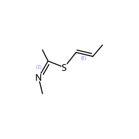 C/C=C/S/C(C)=N\C